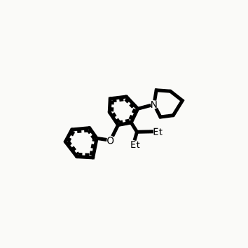 CCC(CC)c1c(Oc2ccccc2)cccc1N1CCCCC1